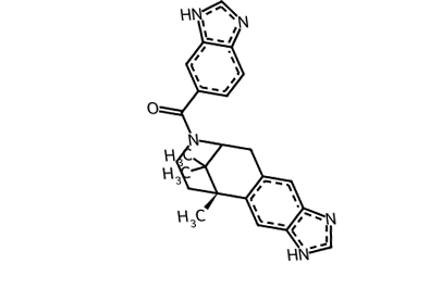 CC1(C)C2Cc3cc4nc[nH]c4cc3[C@]1(C)CCN2C(=O)c1ccc2nc[nH]c2c1